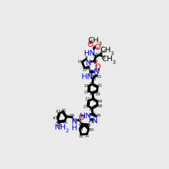 COC(=O)N[C@H](C(=O)N1CCC[C@H]1c1ncc(-c2ccc(-c3ccc(-c4cnc([C@@H]5C6CCC(C6)[C@H]5C(=O)NCc5cccc(N)c5)[nH]4)cc3)cc2)[nH]1)C(C)C